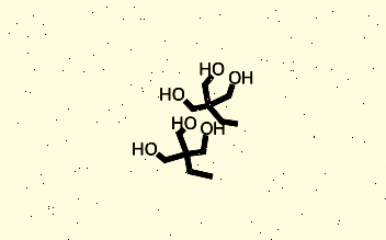 CCC(CO)(CO)CO.CCC(CO)(CO)CO